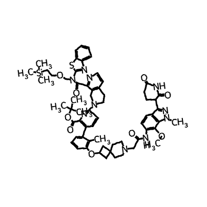 COc1c(NC(=O)CN2CCC3(CC2)CC(Oc2cccc(-c4ccc(N5CCc6ccnc(C(=O)N(COCC[Si](C)(C)C)c7nc8ccccc8s7)c6C5)nc4C(=O)OC(C)(C)C)c2C)C3)ccc2c(C3CCC(=O)NC3=O)nn(C)c12